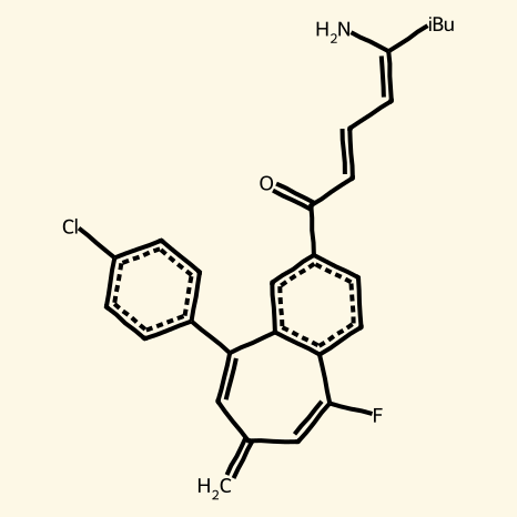 C=C1C=C(F)c2ccc(C(=O)/C=C/C=C(\N)C(C)CC)cc2C(c2ccc(Cl)cc2)=C1